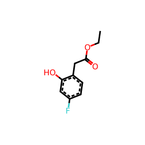 CCOC(=O)Cc1ccc(F)cc1O